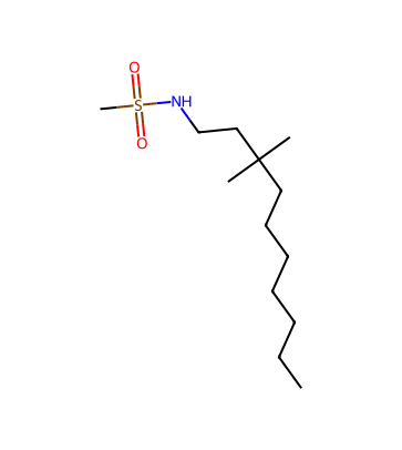 CCCCCCCC(C)(C)CCNS(C)(=O)=O